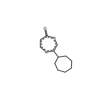 O=c1ccnc(C2CCCCCC2)cn1